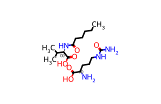 CCCCCC(=O)N[C@H](C(=O)O)C(C)C.NC(=O)NCCC[C@H](N)C(=O)O